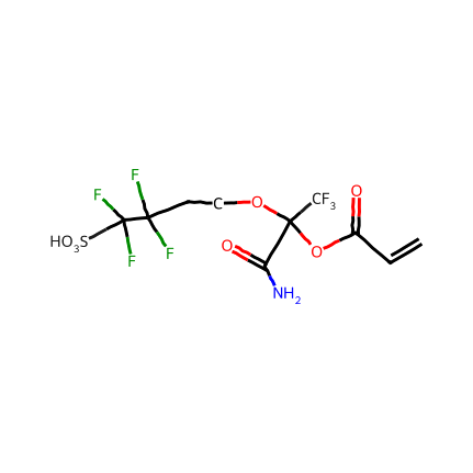 C=CC(=O)OC(OCCC(F)(F)C(F)(F)S(=O)(=O)O)(C(N)=O)C(F)(F)F